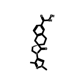 Cc1nn(C)cc1N1CC[C@]2(CCc3cc(C(=O)NO)ccc3C2)C1=O